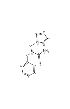 NC(=O)[C@H](Cc1ccccc1)Cn1cccn1